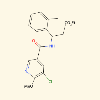 CCOC(=O)CC(NC(=O)c1cnc(OC)c(Cl)c1)c1ccccc1C